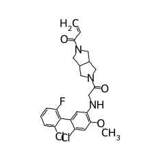 C=CC(=O)N1CC2CN(C(=O)CNc3cc(-c4c(F)cccc4Cl)c(Cl)cc3OC)CC2C1